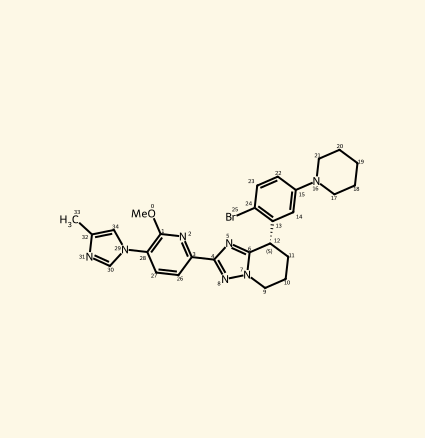 COc1nc(-c2nc3n(n2)CCC[C@H]3c2cc(N3CCCCC3)ccc2Br)ccc1-n1cnc(C)c1